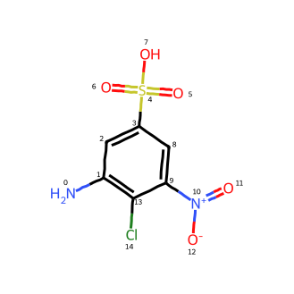 Nc1cc(S(=O)(=O)O)cc([N+](=O)[O-])c1Cl